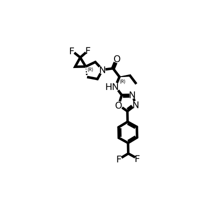 CC[C@@H](Nc1nnc(-c2ccc(C(F)F)cc2)o1)C(=O)N1CC[C@]2(C1)CC2(F)F